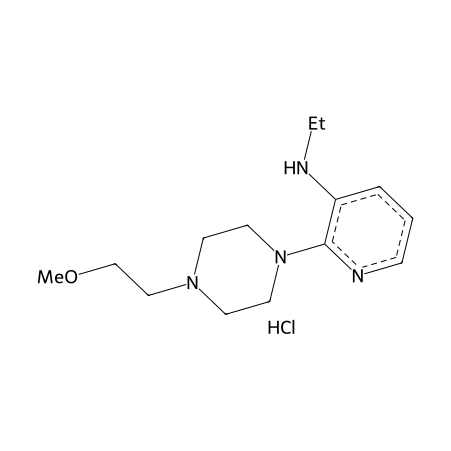 CCNc1cccnc1N1CCN(CCOC)CC1.Cl